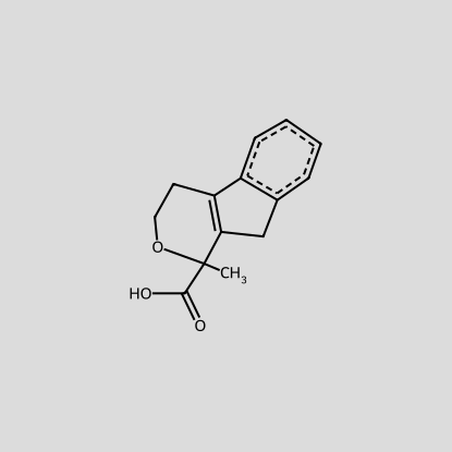 CC1(C(=O)O)OCCC2=C1Cc1ccccc12